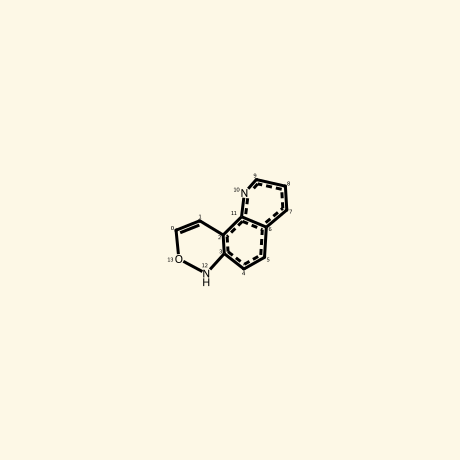 C1=Cc2c(ccc3cccnc23)NO1